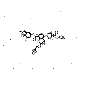 C[C@@H]1CN(c2ccc(C(=O)Nc3cc(F)c4nn(C)cc4c3)c3nc(OCC4COC4)ncc23)C[C@H](C)N1C(=O)OC(C)(C)C